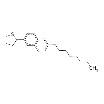 CCCCCCCCc1ccc2cc(C3CCCS3)ccc2c1